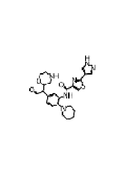 O=CC(c1ccc(N2CCCCC2)c(NC(=O)c2csc(-c3cn[nH]c3)n2)c1)C1CNCCO1